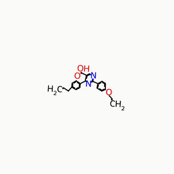 C=CCOc1ccc(-c2ncc(C(=O)O)c(-c3ccc(CC=C)cc3)n2)cc1